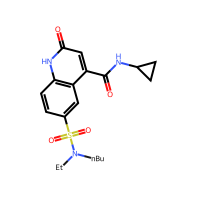 CCCCN(CC)S(=O)(=O)c1ccc2[nH]c(=O)cc(C(=O)NC3CC3)c2c1